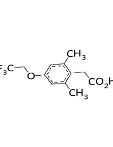 Cc1cc(OCC(F)(F)F)cc(C)c1CC(=O)O